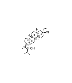 CC[C@]1(O)CC[C@@]2(C)[C@@H](CC[C@@H]3[C@@H]2CC[C@]2(C)[C@@H]([C@H](C)[C@H](O)C(C)C)CC[C@@H]32)C1